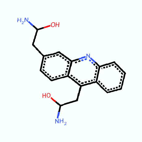 NC(O)Cc1ccc2c(CC(N)O)c3ccccc3nc2c1